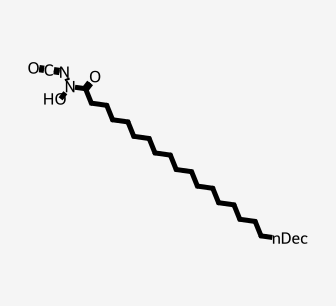 CCCCCCCCCCCCCCCCCCCCCCCCCCCC(=O)N(O)N=C=O